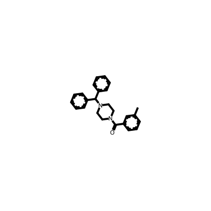 Cc1cccc(C(=O)N2CCN(C(c3ccccc3)c3ccccc3)CC2)c1